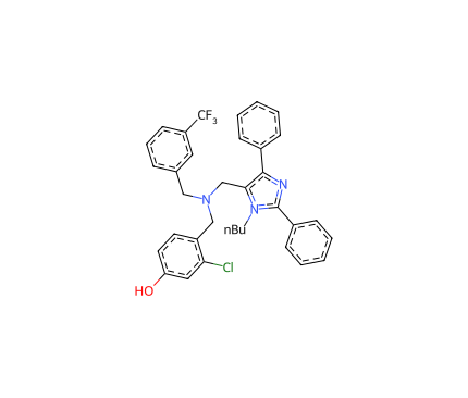 CCCCn1c(-c2ccccc2)nc(-c2ccccc2)c1CN(Cc1cccc(C(F)(F)F)c1)Cc1ccc(O)cc1Cl